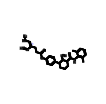 CCCCP1C(C(=O)Nc2c(C)cccc2C)CCCC1c1ccc(OC(=O)CC/C(=C/NCC)N=N)cc1